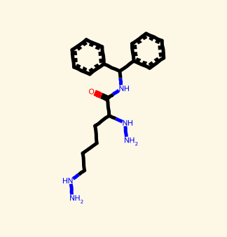 NNCCCCC(NN)C(=O)NC(c1ccccc1)c1ccccc1